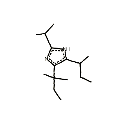 CCC(C)c1[nH]c(C(C)C)nc1C(C)(C)CC